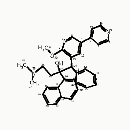 COc1ncc(-c2ccncc2)cc1C(c1ccccc1)C(O)(CCN(C)C)c1cccc2ccccc12